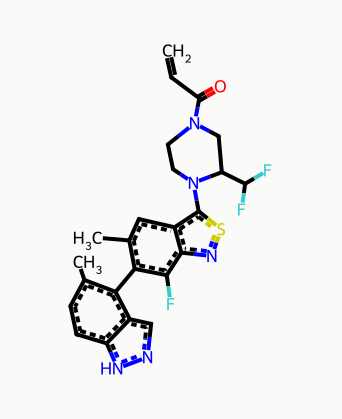 C=CC(=O)N1CCN(c2snc3c(F)c(-c4c(C)ccc5[nH]ncc45)c(C)cc23)C(C(F)F)C1